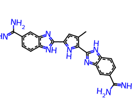 Cc1cc(-c2nc3cc(C(=N)N)ccc3[nH]2)[nH]c1-c1nc2cc(C(=N)N)ccc2[nH]1